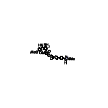 CN/C=N\C(=N)c1ccc(C2=CCN(C(=O)CN3CC[C@]4(CCN(c5ccc(N)c(C(=N)c6ccc(OC)c(OC)n6)c5)C4=O)C3)CC2)cc1